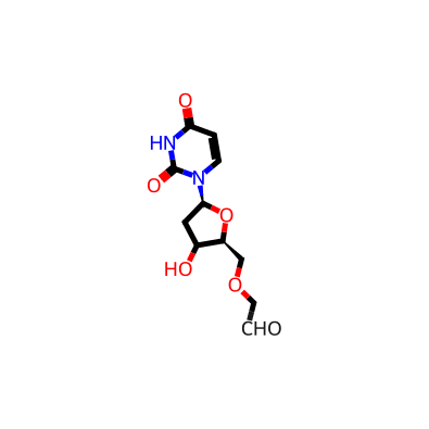 O=CCOC[C@@H]1O[C@H](n2ccc(=O)[nH]c2=O)CC1O